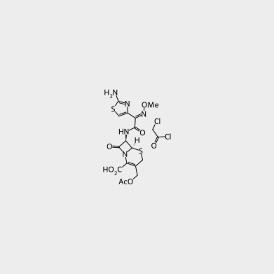 CO/N=C(/C(=O)N[C@@H]1C(=O)N2C(C(=O)O)=C(COC(C)=O)CS[C@H]12)c1csc(N)n1.O=C(Cl)CCl